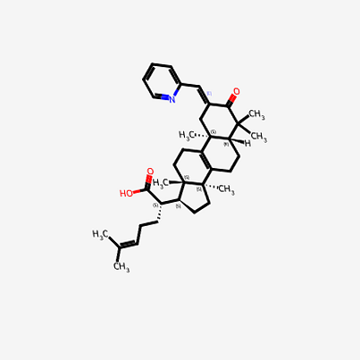 CC(C)=CCC[C@H](C(=O)O)[C@@H]1CC[C@]2(C)C3=C(CC[C@@]12C)[C@@]1(C)C/C(=C\c2ccccn2)C(=O)C(C)(C)[C@@H]1CC3